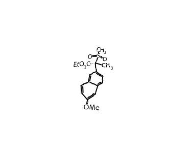 CCOC(=O)[C@](C)(c1ccc2cc(OC)ccc2c1)S(C)(=O)=O